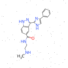 CNCCNC(=O)c1ccc2[nH]nc(-c3nc(-c4ccccc4)c[nH]3)c2c1